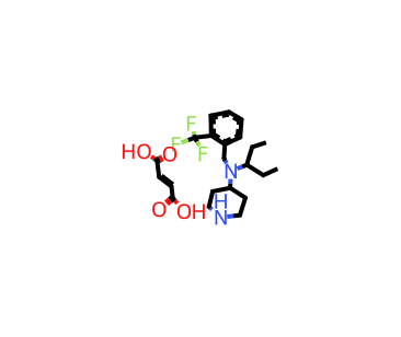 CCC(CC)N(Cc1ccccc1C(F)(F)F)C1CCNCC1.O=C(O)C=CC(=O)O